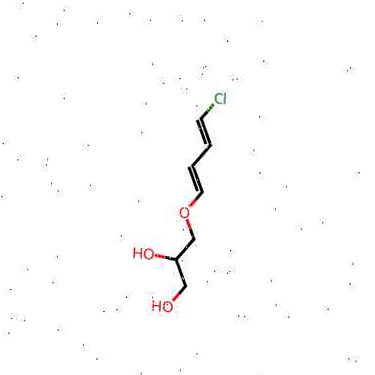 OCC(O)COC=CC=CCl